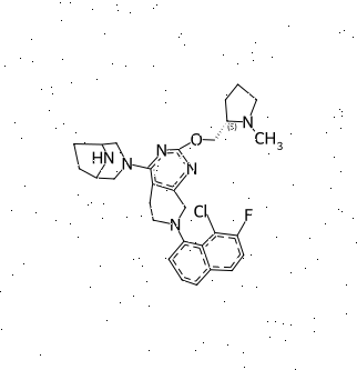 CN1CCC[C@H]1COc1nc2c(c(N3CC4CCC(C3)N4)n1)CCN(c1cccc3ccc(F)c(Cl)c13)C2